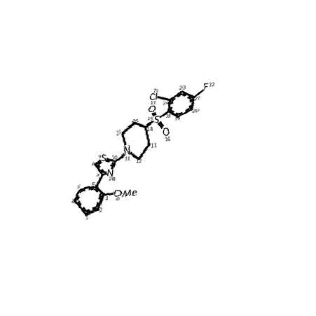 COc1ccccc1-c1csc(N2CCC(S(=O)(=O)c3ccc(F)cc3Cl)CC2)n1